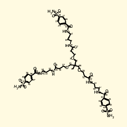 CC(COCCC(=O)NCCCNC(=O)c1ccc(S(N)(=O)=O)cc1)(COCCC(=O)NCCCNC(=O)c1ccc(S(N)(=O)=O)cc1)COCCC(=O)NCCCNC(=O)c1ccc(S(N)(=O)=O)cc1